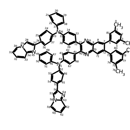 Cc1cc(C)cc(-c2cc3nc(-c4ccc(N(c5ccccc5)c5ccc(-c6cn7ccccc7n6)cc5)cc4)c(-c4ccc(N(c5ccccc5)c5ccc(-c6cn7ccccc7n6)cc5)cc4)nc3cc2-c2cc(C)cc(C)c2)c1